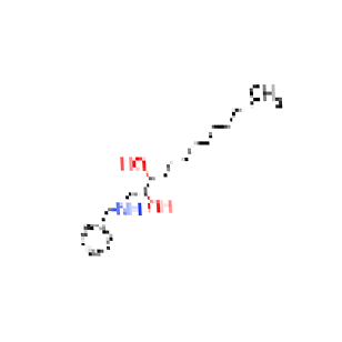 CCCCCCCCCCC(O)C(O)CNCc1ccccc1